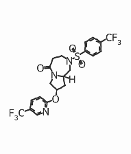 O=C1CCN(S(=O)(=O)c2ccc(C(F)(F)F)cc2)C[C@@H]2C[C@@H](Oc3ccc(C(F)(F)F)cn3)CN12